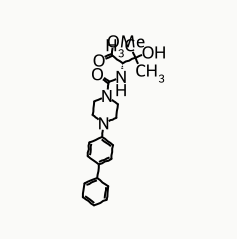 COC(=O)[C@@H](NC(=O)N1CCN(c2ccc(-c3ccccc3)cc2)CC1)C(C)(C)O